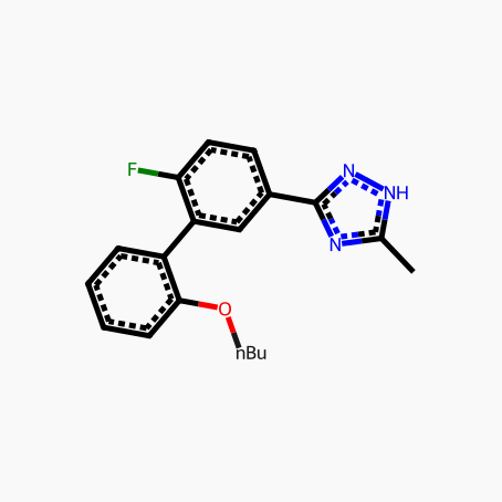 CCCCOc1ccccc1-c1cc(-c2n[nH]c(C)n2)ccc1F